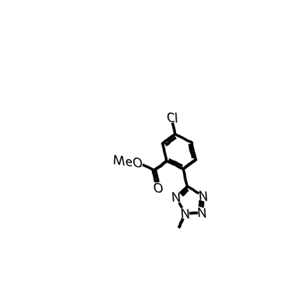 COC(=O)c1cc(Cl)ccc1-c1nnn(C)n1